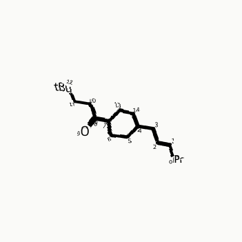 CC(C)CCCC1CCC(C(=O)CCC(C)(C)C)CC1